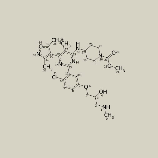 CNCC(O)COc1ccc(Cl)c(-c2nc(NC3CCN(C(=O)OC)CC3)c(C)c(-c3c(C)noc3C)n2)c1